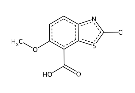 COc1ccc2nc(Cl)sc2c1C(=O)O